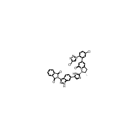 C[C@H]1Cc2cc(-c3cc(Cl)ccc3-n3cc(Cl)nn3)cc(=O)n2[C@@H]1c1ncc(-c2ccc3c(N4C(=O)c5ccccc5C4=O)n[nH]c3c2)[nH]1